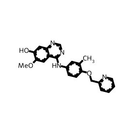 COc1cc2c(Nc3ccc(OCc4ccccn4)c(C)c3)ncnc2cc1O